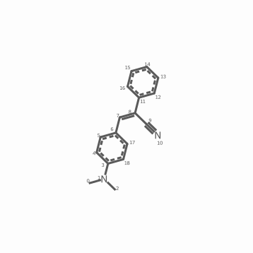 CN(C)c1ccc(C=C(C#N)c2ccccc2)cc1